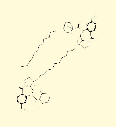 COc1ccc2c(c1)N(C(=O)OC(C)(C)C)[C@@H](OC1CCCCO1)[C@@H]1C(OCCCCCCCCCCOC3CCN4C(=O)c5ccc(OC)cc5N(C(=O)OC(C)(C)C)[C@@H](OC5CCCCO5)[C@H]34)CCN1C2=O.ICCCCCCCCCCI